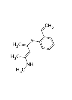 C=Cc1ccccc1SC(=C)/C=C(\C)NC